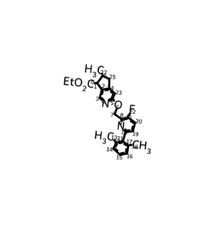 CCOC(=O)C1c2cnc(OCc3nc(-c4c(C)cccc4C)ccc3F)cc2CC1C